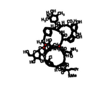 CN[C@H](CC(C)C)C(=O)N[C@H]1C(=O)C[C@@H](CC(N)=O)C(=O)N[C@H]2C(=O)C[C@H]3C(=O)N[C@H](C(=O)N[C@H](C(=O)O)c4cc(O)cc(O)c4-c4cc3ccc4O)[C@H](OC3CC(C)C(O)C(C)(N)C3)c3ccc(cc3)Oc3cc2cc(c3OC2OC(CO)C(O)C(O)C2OC2CC(C)(N)C(O)C(C)O2)Oc2ccc(cc2Cl)[C@H]1O